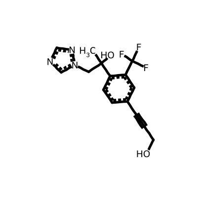 CC(O)(Cn1cncn1)c1ccc(C#CCO)cc1C(F)(F)F